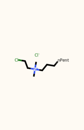 CCCCCCCC[N+](C)(C)CCCl.[Cl-]